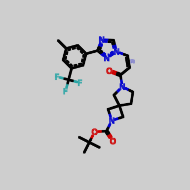 Cc1cc(-c2ncn(/C=C\C(=O)N3CCC4(C3)CN(C(=O)OC(C)(C)C)C4)n2)cc(C(F)(F)F)c1